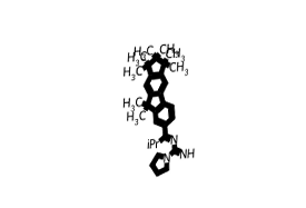 CC(C)/C(=N\C(=N)N1CCCC1)c1ccc2c(c1)C(C)(C)c1cc3c(cc1-2)C(C)(C)C(C)(C)C3(C)C